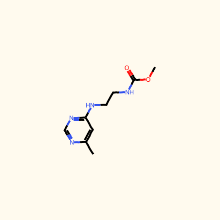 COC(=O)NCCNc1cc(C)ncn1